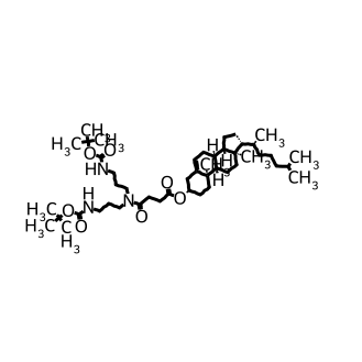 CC(C)CCC[C@@H](C)[C@H]1CC[C@H]2[C@@H]3CC=C4C[C@@H](OC(=O)CCC(=O)N(CCCNC(=O)OC(C)(C)C)CCCNC(=O)OC(C)(C)C)CC[C@]4(C)[C@H]3CC[C@]12C